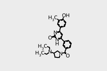 CCN(CC)C1CCN(C(=O)c2cccc(-c3cc(-c4ccc(O)c(C)c4)nc(=O)[nH]3)c2)C1